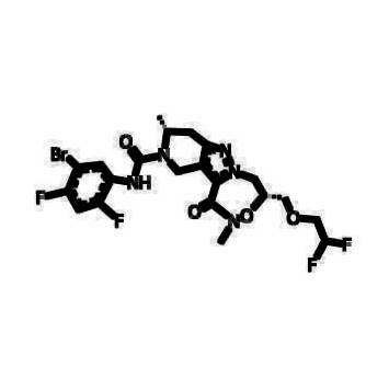 C[C@@H]1Cc2nn3c(c2CN1C(=O)Nc1cc(Br)c(F)cc1F)C(=O)N(C)O[C@@H](COCC(F)F)C3